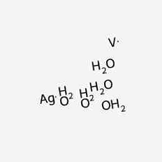 O.O.O.O.O.[Ag].[V]